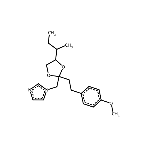 CCC(C)C1COC(CCc2ccc(OC)cc2)(Cn2ccnc2)O1